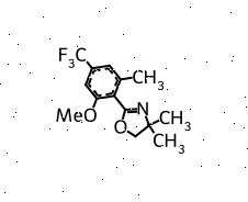 COc1cc(C(F)(F)F)cc(C)c1C1=NC(C)(C)CO1